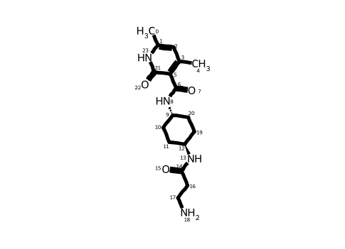 Cc1cc(C)c(C(=O)N[C@H]2CC[C@H](NC(=O)CCN)CC2)c(=O)[nH]1